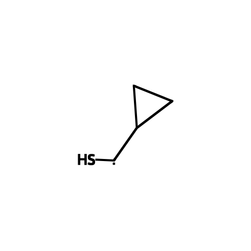 S[CH]C1CC1